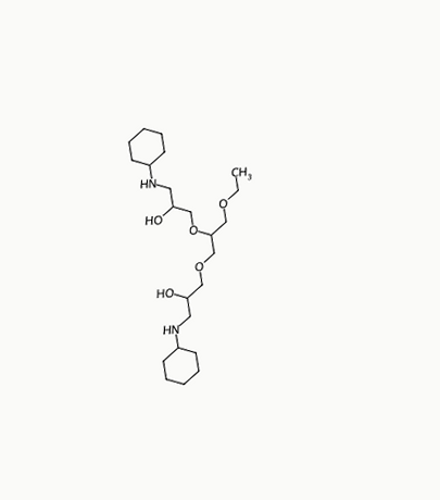 CCOCC(COCC(O)CNC1CCCCC1)OCC(O)CNC1CCCCC1